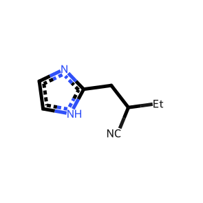 CCC(C#N)Cc1ncc[nH]1